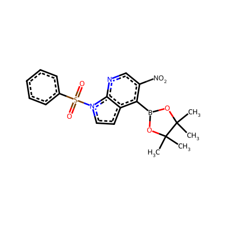 CC1(C)OB(c2c([N+](=O)[O-])cnc3c2ccn3S(=O)(=O)c2ccccc2)OC1(C)C